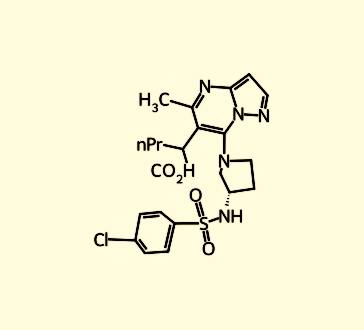 CCCC(C(=O)O)c1c(C)nc2ccnn2c1N1CC[C@H](NS(=O)(=O)c2ccc(Cl)cc2)C1